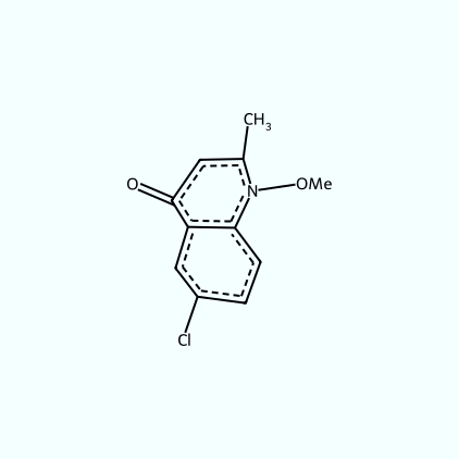 COn1c(C)cc(=O)c2cc(Cl)ccc21